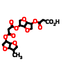 CC1COC2C(OC(=O)CC(=O)OC3COC4C(OC(=O)CC(=O)O)COC34)COC12